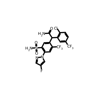 NC(=O)C(c1cc(C(F)(F)F)ccc1Cl)c1cc(S(N)(=O)=O)c(-n2cc(F)cn2)cc1C(F)(F)F